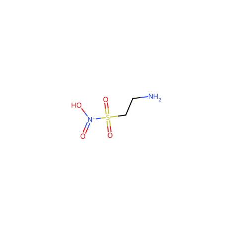 NCCS(=O)(=O)[N+](=O)O